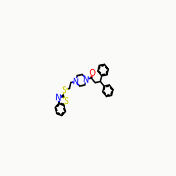 O=C(CC(c1ccccc1)c1ccccc1)N1CCN(CCSc2nc3ccccc3s2)CC1